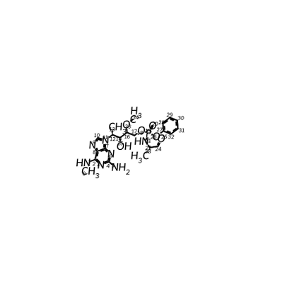 CNc1nc(N)nc2c1ncn2[C@@H](C)[C@H](O)C(COP(=O)(N[C@@H](C)C=O)Oc1ccccc1)OC